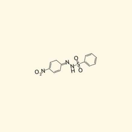 O=[N+]([O-])C1=CCC(=NNS(=O)(=O)c2ccccc2)C=C1